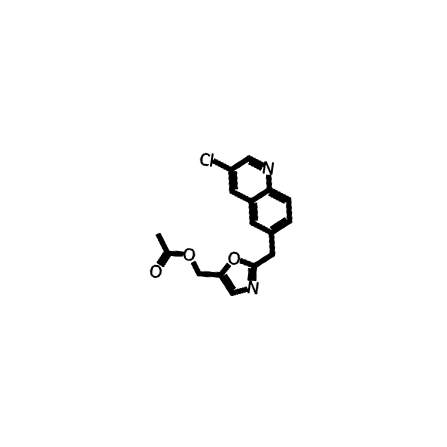 CC(=O)OCc1cnc(Cc2ccc3ncc(Cl)cc3c2)o1